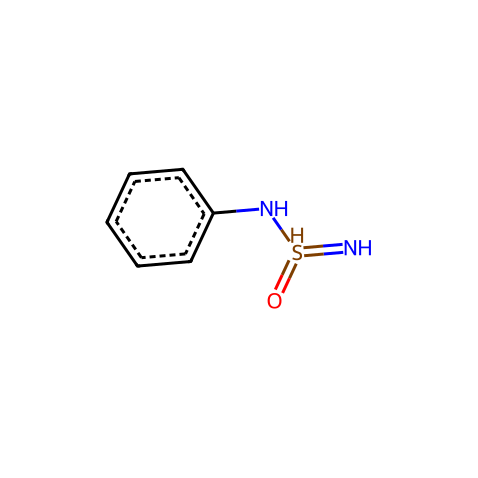 N=[SH](=O)Nc1ccccc1